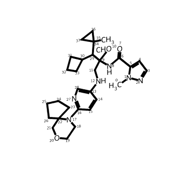 Cn1nccc1C(=O)NC(C=O)(CNc1ccc(N2CCOCC23CCCC3)nc1)C(C1CCC1)C1(C)CC1